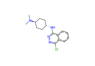 CN(C)[C@H]1CC[C@H](Nc2nnc(Cl)c3ccccc23)CC1